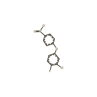 O=[N+]([O-])c1ccc(Oc2ccc(F)c(Cl)c2)cc1